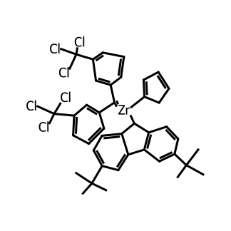 CC(C)(C)c1ccc2c(c1)-c1cc(C(C)(C)C)ccc1[CH]2[Zr]([C]1=CC=CC1)=[C](c1cccc(C(Cl)(Cl)Cl)c1)c1cccc(C(Cl)(Cl)Cl)c1